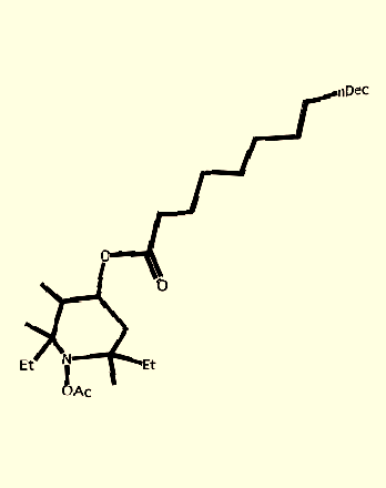 CCCCCCCCCCCCCCCCCC(=O)OC1CC(C)(CC)N(OC(C)=O)C(C)(CC)C1C